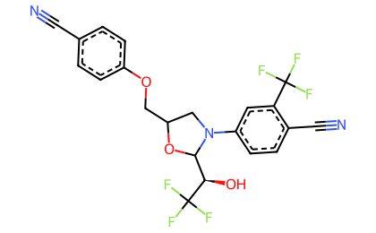 N#Cc1ccc(OCC2CN(c3ccc(C#N)c(C(F)(F)F)c3)C([C@@H](O)C(F)(F)F)O2)cc1